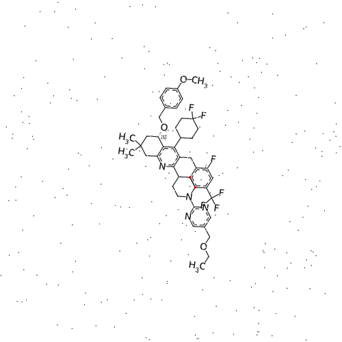 CCOCc1cnc(N2CCC(c3nc4c(c(C5CCC(F)(F)CC5)c3Cc3ccc(C(F)(F)F)cc3F)[C@@H](OCc3ccc(OC)cc3)CC(C)(C)C4)CC2)nc1